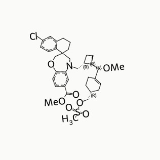 COC(=O)c1ccc2c(c1)N(C[C@@H]1CC[C@H]1[C@H](OC)C1=CC[C@H](COS(C)(=O)=O)CC1)CC1(CCCc3cc(Cl)ccc31)CO2